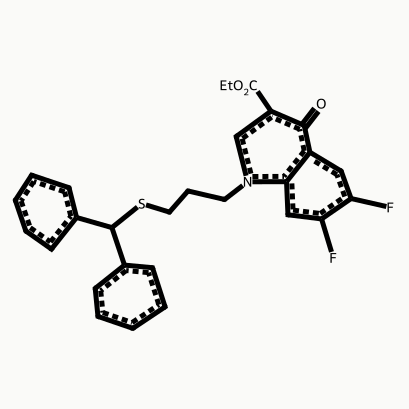 CCOC(=O)c1cn(CCCSC(c2ccccc2)c2ccccc2)c2cc(F)c(F)cc2c1=O